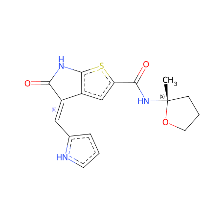 C[C@@]1(NC(=O)c2cc3c(s2)NC(=O)/C3=C/c2ccc[nH]2)CCCO1